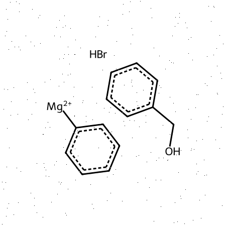 Br.OCc1ccccc1.[Mg+2][c]1ccccc1